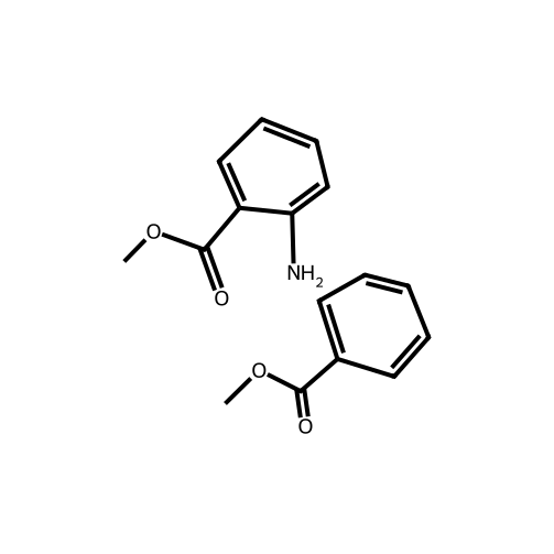 COC(=O)c1ccccc1.COC(=O)c1ccccc1N